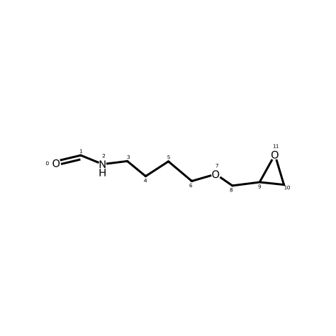 O=CNCCCCOCC1CO1